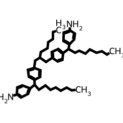 CCCCCCCCC(c1ccc(N)cc1)c1ccc(CC(CCCCCC)Cc2ccc(C(CCCCCCCC)c3ccc(N)cc3)cc2)cc1